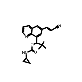 CC(C)(C)C(OC(=O)NC1CC1)c1cc(C=CC#N)cc2cccnc12